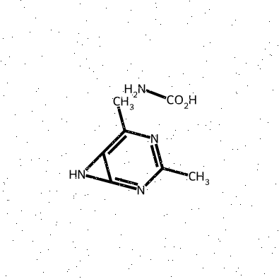 Cc1nc(C)c2c(n1)N2.NC(=O)O